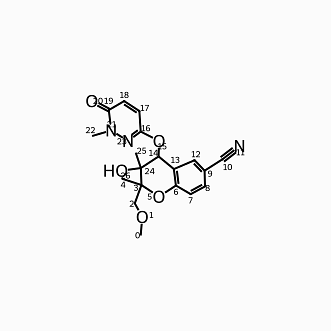 COCC1(C)Oc2ccc(C#N)cc2C(Oc2ccc(=O)n(C)n2)C1(C)O